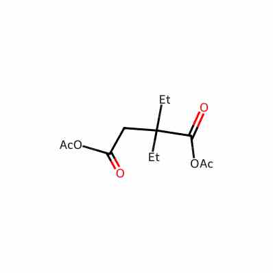 CCC(CC)(CC(=O)OC(C)=O)C(=O)OC(C)=O